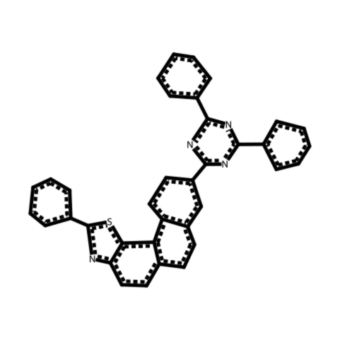 c1ccc(-c2nc(-c3ccccc3)nc(-c3ccc4c(ccc5ccc6nc(-c7ccccc7)sc6c54)c3)n2)cc1